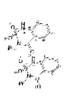 CC(C)N1C(=O)c2ccccc2NS1(=O)=O.CC(C)N1C(=O)c2ccccc2NS1(=O)=O